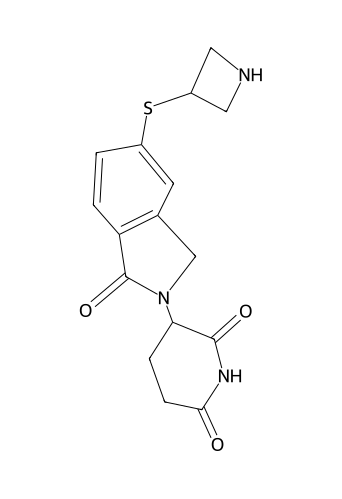 O=C1CCC(N2Cc3cc(SC4CNC4)ccc3C2=O)C(=O)N1